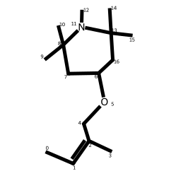 C/C=C(/C)COC1CC(C)(C)N(C)C(C)(C)C1